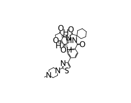 CN1CCN(c2nc(-c3ccc(C(=O)NC4(C(=O)N5C[C@@H](O)[C@H]6OCC(=O)[C@H]65)CCCCC4)cc3)cs2)CC1